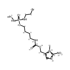 CCCNP(=O)(NCCBr)OCCCCNC(=O)OCc1cnc([N+](=O)[O-])n1C